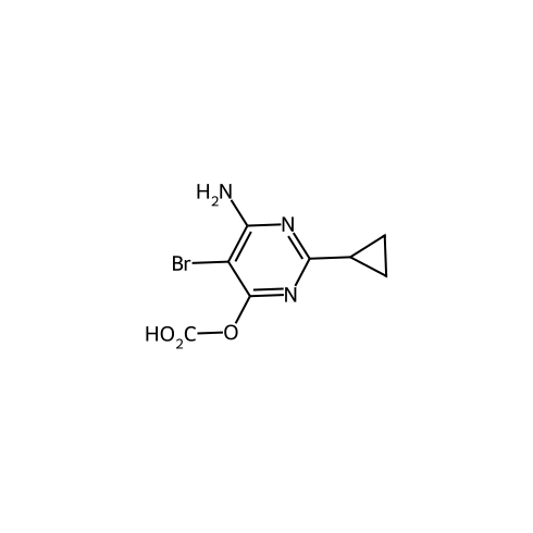 Nc1nc(C2CC2)nc(OC(=O)O)c1Br